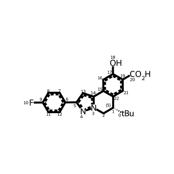 CC(C)(C)[C@@H]1Cn2nc(-c3ccc(F)cc3)cc2-c2cc(O)c(C(=O)O)cc21